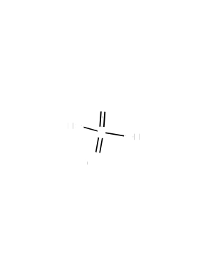 O=S(=O)(O)O.[La]